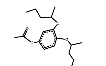 CCCC(C)Oc1ccc(OC(C)=O)cc1OC(C)CCC